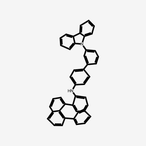 c1ccc(-c2cccc3cccc(-c4ccccc4Nc4ccc(-c5cccc(-n6c7ccccc7c7ccccc76)c5)cc4)c23)cc1